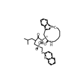 CC(C)CC(CP(=O)(O)CSc1ccc2ccccc2n1)C(=O)N[C@H]1Cc2cn(c3ccccc23)CCCCCCNC1=O